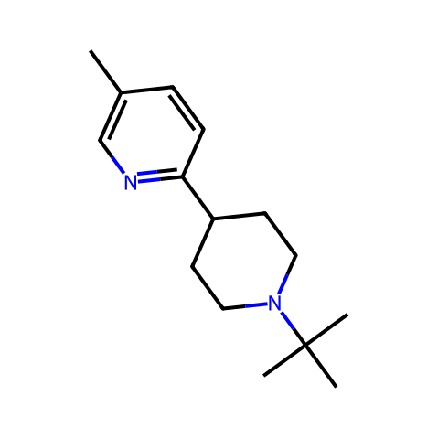 Cc1ccc(C2CCN(C(C)(C)C)CC2)nc1